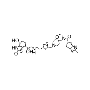 Cc1nc2cc(C(=O)N3CCOC4(CCN(Cc5cc(CCNC[C@H](O)c6ccc(O)c7[nH]c(=O)sc67)cs5)CC4)C3)ccc2s1